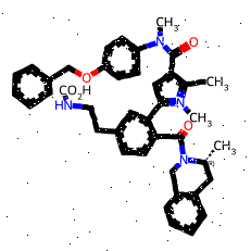 Cc1c(C(=O)N(C)c2ccc(OCc3ccccc3)cc2)cc(-c2cc(CCNC(=O)O)ccc2C(=O)N2Cc3ccccc3C[C@H]2C)n1C